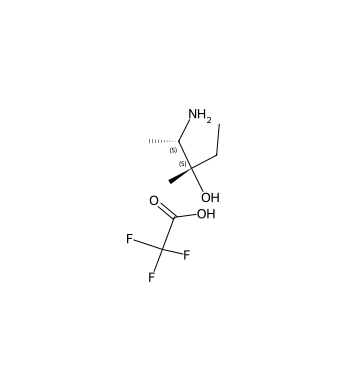 CC[C@](C)(O)[C@H](C)N.O=C(O)C(F)(F)F